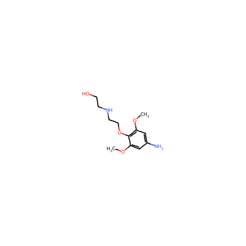 COc1cc(N)cc(OC)c1OCCNCCO